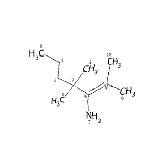 CCCC(C)(C)C(N)=C(C)C